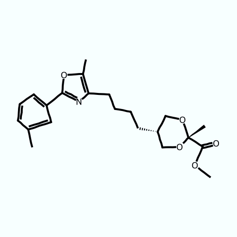 COC(=O)[C@]1(C)OC[C@H](CCCCc2nc(-c3cccc(C)c3)oc2C)CO1